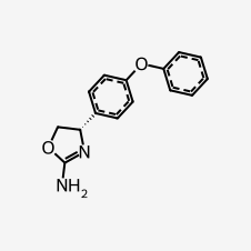 NC1=N[C@@H](c2ccc(Oc3ccccc3)cc2)CO1